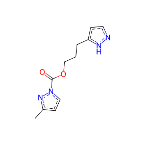 Cc1ccn(C(=O)OCCCc2ccn[nH]2)n1